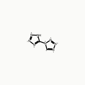 c1nnnn1-c1nnn[nH]1